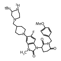 [2H]N1CCN(CC2CCN(c3cc4c(cc3F)n(C3CCC(=O)N(Cc5ccc(OC)cc5)C3=O)c(=O)n4C)CC2)CC1C(C)(C)C